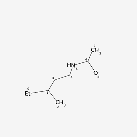 CCC(C)CCNC(C)[O]